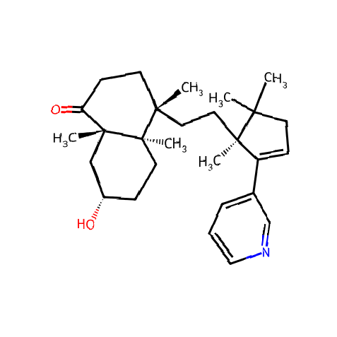 CC1(C)CC=C(c2cccnc2)[C@@]1(C)CC[C@@]1(C)CCC(=O)[C@@]2(C)C[C@@H](O)CC[C@]12C